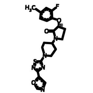 Cc1ccc(O[C@H]2CCN(C3CCN(c4nc(-c5cnco5)ns4)CC3)C2=O)c(F)c1